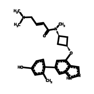 Cc1cc(O)ccc1-c1cc(O[C@H]2C[C@@H](N(C)C(=O)/C=C/CN(C)C)C2)c2cn[nH]c2c1